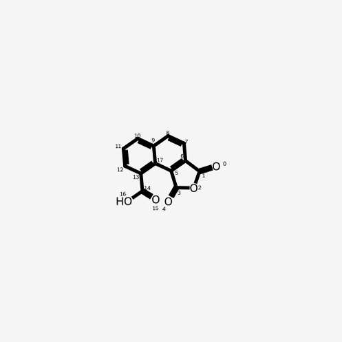 O=C1OC(=O)c2c1ccc1cccc(C(=O)O)c21